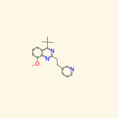 COc1cccc2c(C(C)(C)C)nc(CCc3cccnc3)nc12